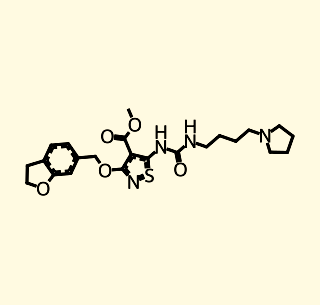 COC(=O)c1c(OCc2ccc3c(c2)OCC3)nsc1NC(=O)NCCCCN1CCCC1